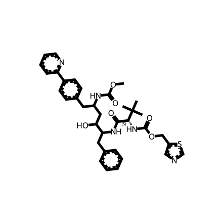 COC(=O)NC(Cc1ccc(-c2ccccn2)cc1)CC(O)C(Cc1ccccc1)NC(=O)[C@@H](NC(=O)OCc1cncs1)C(C)(C)C